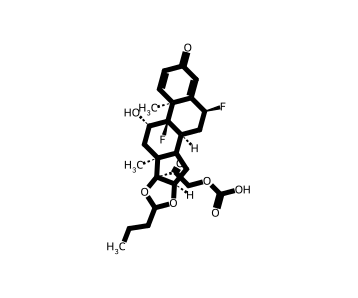 CCCC1O[C@@H]2CC3[C@@H]4C[C@H](F)C5=CC(=O)C=C[C@]5(C)[C@@]4(F)[C@@H](O)C[C@]3(C)[C@]2(C(=O)COC(=O)O)O1